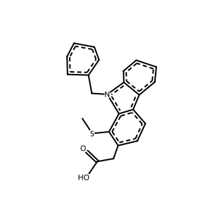 CSc1c(CC(=O)O)ccc2c3ccccc3n(Cc3ccccc3)c12